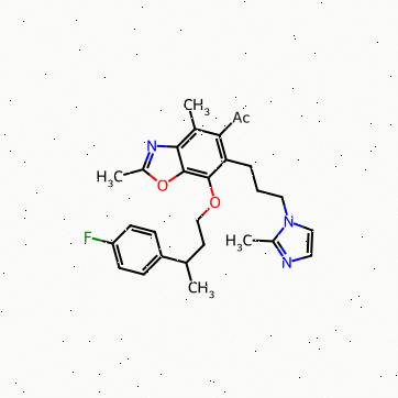 CC(=O)c1c(CCCn2ccnc2C)c(OCCC(C)c2ccc(F)cc2)c2oc(C)nc2c1C